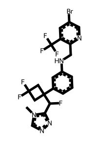 Cn1cnnc1C(F)C1(c2cccc(NCc3ncc(Br)cc3C(F)(F)F)c2)CC(F)(F)C1